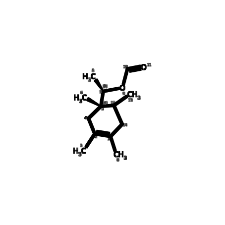 CC1=C(C)C[C@](C)([C@@H](C)OC=O)C(C)C1